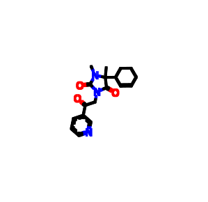 CN1C(=O)N(CC(=O)c2cccnc2)C(=O)C1(C)C1C=CCCC1